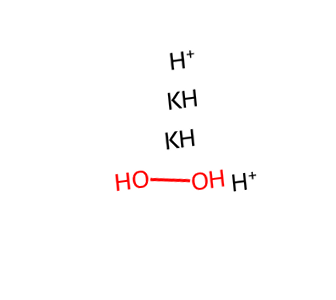 OO.[H+].[H+].[KH].[KH]